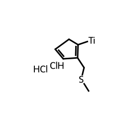 CSCC1=[C]([Ti])CC=C1.Cl.Cl